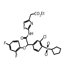 CCOC(=O)Cc1csc(NC(=O)C(Oc2ccc(F)cc2F)c2ccc(S(=O)(=O)C3CCCC3)c(Cl)c2)n1